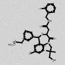 CC(C)(CO)CN1C(=O)C(CC(=O)NCc2ccccc2F)OC(c2cccc(CNC(=O)O)c2)c2cc(Cl)ccc21